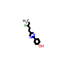 CC[C@H](F)CCc1cnc(-c2ccc(O)cc2)nc1